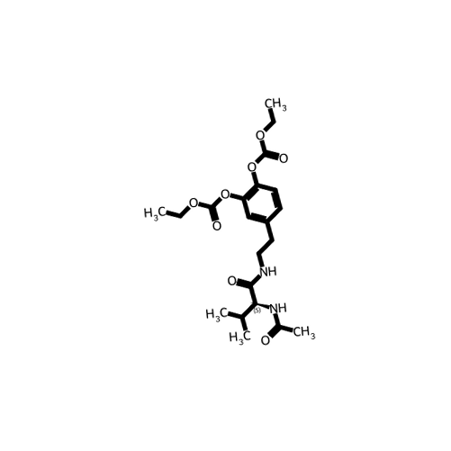 CCOC(=O)Oc1ccc(CCNC(=O)[C@@H](NC(C)=O)C(C)C)cc1OC(=O)OCC